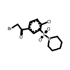 O=C(CBr)c1ccc(Cl)c(S(=O)(=O)N2CCCCC2)c1